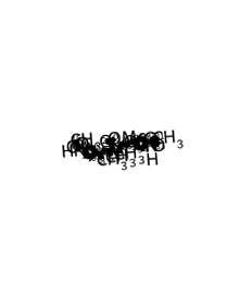 COC(=O)C(C(C)CC(C)c1ccc(NS(C)(=O)=O)cc1)N(C)CCOc1ccc(NS(C)(=O)=O)cc1